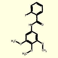 COc1cc(NC(=O)c2ccccc2F)cc(OC)c1OC